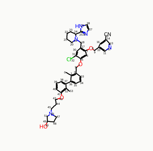 Cc1c(COc2cc(OCc3cncc(C#N)c3)c(CN3CCCCC3c3ncc[nH]3)cc2Cl)cccc1-c1cccc(OCCCN2CCC(O)C2)c1C